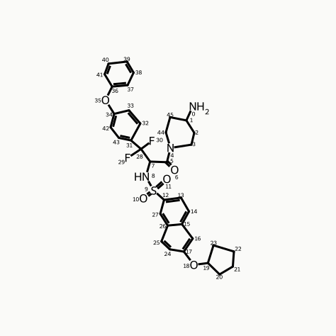 NC1CCN(C(=O)C(NS(=O)(=O)c2ccc3cc(OC4CCCC4)ccc3c2)C(F)(F)c2ccc(Oc3ccccc3)cc2)CC1